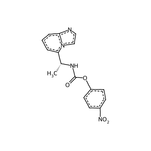 C[C@@H](NC(=O)Oc1ccc([N+](=O)[O-])cc1)c1cccc2nccn12